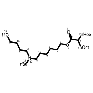 CCCCCCCCC(CCCCCC)C(=O)OCCCCCCN(CCCC)CCCCO